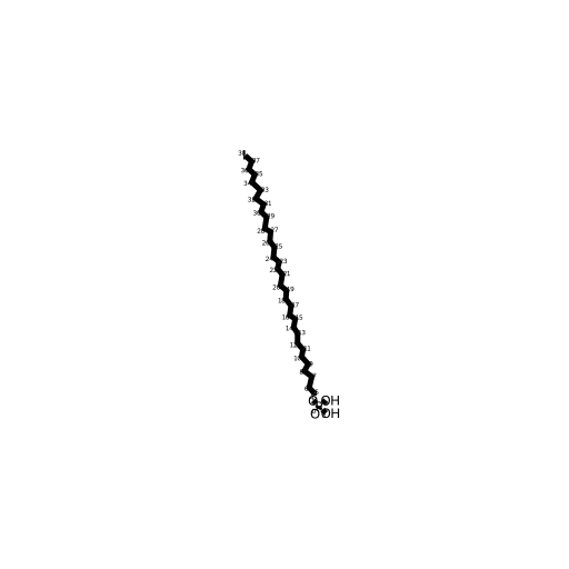 O=P(O)(O)OCCCCCCCCCCCCCCCCCCCCCCCCCCCCCCCCCI